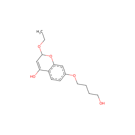 CCOC1C=C(O)c2ccc(OCCCCO)cc2O1